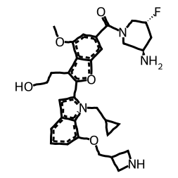 COc1cc(C(=O)N2C[C@H](N)C[C@@H](F)C2)cc2oc(-c3cc4cccc(OCC5CNC5)c4n3CC3CC3)c(CCO)c12